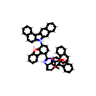 CC1C/C=C(c2ccc3oc4ccccc4c3c2)/N=C(c2ccc(-n3c4cc5ccccc5cc4c4c5ccccc5ccc43)c3oc4ccccc4c23)\N=C/1c1cccc2ccccc12